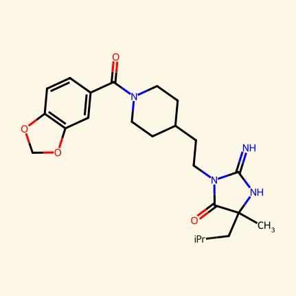 CC(C)CC1(C)NC(=N)N(CCC2CCN(C(=O)c3ccc4c(c3)OCO4)CC2)C1=O